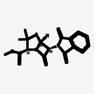 COC(=O)[C@@H]1N2C(=O)[C@@H](N3C(=O)c4ccccc4C3=O)[C@H]2SC1(C)C